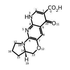 O=C(O)c1c[nH]c2nc3c(cc2c1=O)OC[C@@H]1CCCN31